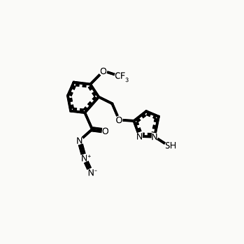 [N-]=[N+]=NC(=O)c1cccc(OC(F)(F)F)c1COc1ccn(S)n1